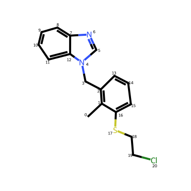 Cc1c(Cn2cnc3ccccc32)cccc1SCCCl